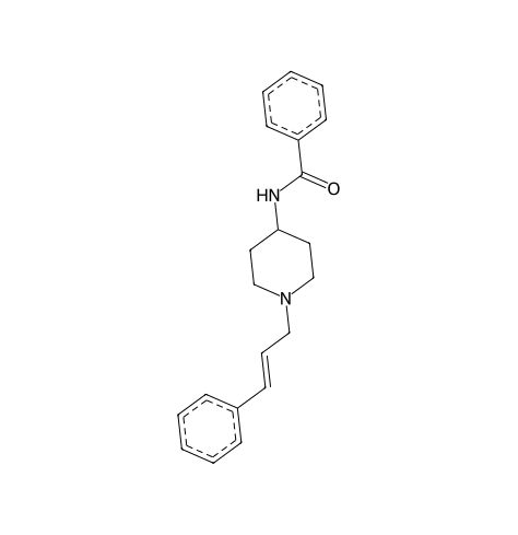 O=C(NC1CCN(C/C=C/c2ccccc2)CC1)c1ccccc1